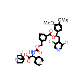 COc1ccc(C(Cc2c(Cl)cncc2Cl)OC(=O)c2cccc(COC(=O)NC(C(=O)O[C@H]3CN4CCC3CC4)c3ccccc3)c2)cc1OC